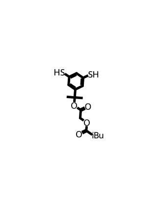 CCC(C)C(=O)OCC(=O)OC(C)(C)c1cc(S)cc(S)c1